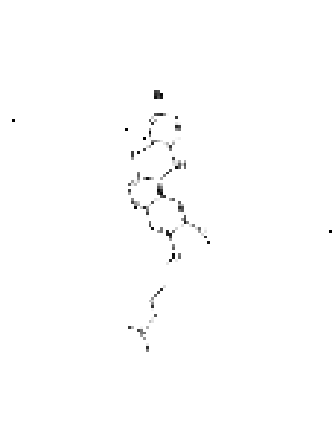 COc1cc2c(Nc3ccc(Br)cc3F)ncnc2cc1OCCCCN(C)C